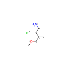 COCC(C)CCN.Cl